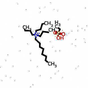 CCCCCCCC[N+](CCCC)(CCCC)CCCC.CCS(=O)(=O)O